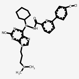 CN(C)CCCn1cnc2c(N(NC(=O)c3cccc(-c4ccc(CCl)cc4)n3)C3CCCCC3)nc(C#N)nc21